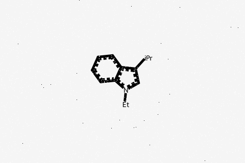 CCn1cc(C(C)C)c2ccccc21